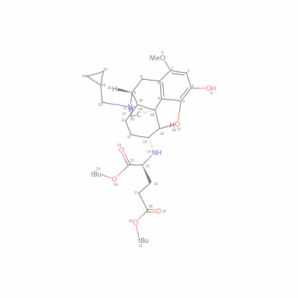 COc1cc(O)c2c3c1C[C@@H]1[C@@H]4CC[C@@H](N[C@@H](CCC(=O)OC(C)(C)C)C(=O)OC(C)(C)C)[C@H](O2)[C@]34CCN1CC1CC1